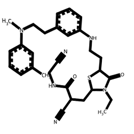 CCN1C(=O)C(CCNc2cccc(CCN(C)c3cccc(C)c3)c2)SC1CC(C#N)C(=O)NCC#N